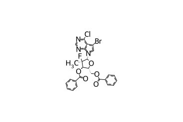 C[C@@]1(F)[C@H](OC(=O)c2ccccc2)[C@@H](COC(=O)c2ccccc2)O[C@H]1n1cc(Br)c2c(Cl)ncnc21